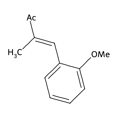 COc1ccccc1/C=C(\C)C(C)=O